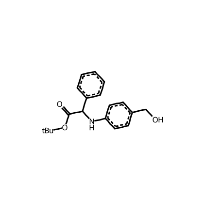 CC(C)(C)OC(=O)C(Nc1ccc(CO)cc1)c1ccccc1